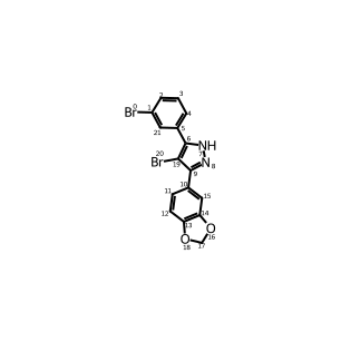 Brc1cccc(-c2[nH]nc(-c3ccc4c(c3)OCO4)c2Br)c1